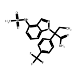 CCC(C(N)=O)(c1ccc(C(F)(F)F)cc1)n1ncc2c(NS(C)(=O)=O)cccc21